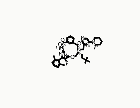 Cc1cccc(C)c1-c1nc2nc(c1F)OC[C@@H](CCC(C)(C)C)N(Cc1cncc(N3CCCC[C@H]3C)n1)C(=O)c1cccc(c1)S(=O)(=O)N2